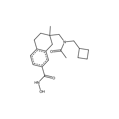 CC(=O)N(CC1CCC1)CC1(C)CCc2ccc(C(=O)NO)cc2C1